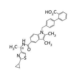 Cc1c(C)n(Cc2ccc(-c3ccccc3C(=O)O)cc2)c2ccc(C(=O)N[C@@H](C)c3csc(C4CC4)n3)cc12